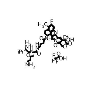 CC[C@@]1(O)C(=O)OCc2c1cc1n(c2=O)Cc2c-1nc1cc(F)c(C)c3c1c2[C@@H](NC(=O)CCCNC(=O)[C@H](CCCCN)NC(=O)[C@@H](N)C(C)C)CC3.O=C(O)C(F)(F)F